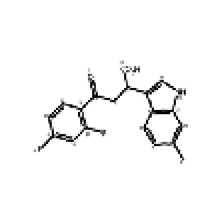 Cc1ccc2c(C(CC(=O)c3ccc(F)cc3F)C(=O)O)c[nH]c2c1